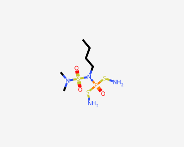 CCCCN(P(=O)(SN)SN)S(=O)(=O)N(C)C